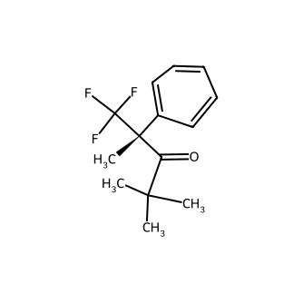 CC(C)(C)C(=O)[C@@](C)(c1ccccc1)C(F)(F)F